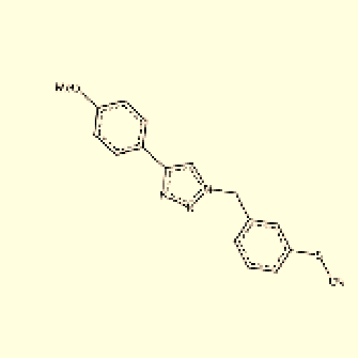 COc1ccc(-c2cn(Cc3cccc(SC#N)c3)nn2)cc1